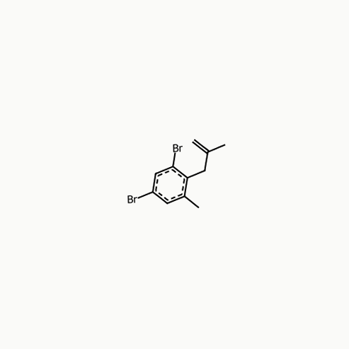 C=C(C)Cc1c(C)cc(Br)cc1Br